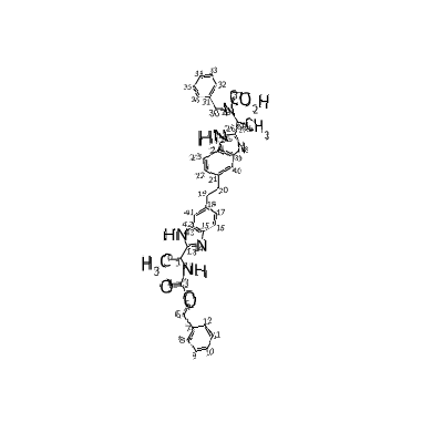 CC(NC(=O)OCc1ccccc1)c1nc2ccc(CCc3ccc4[nH]c([C@H](C)N(Cc5ccccc5)C(=O)O)nc4c3)cc2[nH]1